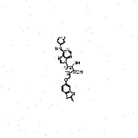 Cc1nc2cc(OC[C@H]3O[C@@H](n4cnc5c(NC6CCOC6)ncnc54)[C@@H](O)[C@H]3O)ccc2s1